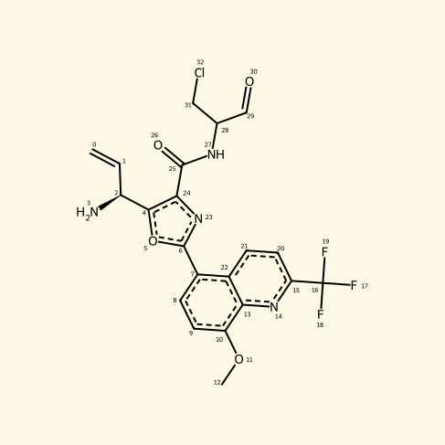 C=C[C@H](N)c1oc(-c2ccc(OC)c3nc(C(F)(F)F)ccc23)nc1C(=O)NC(C=O)CCl